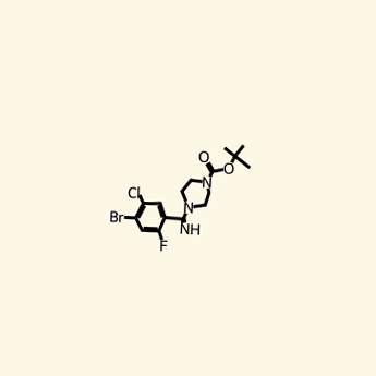 CC(C)(C)OC(=O)N1CCN(C(=N)c2cc(Cl)c(Br)cc2F)CC1